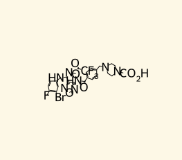 O=C(Nc1nonc1/C(=N\OC(=O)C(F)(F)F)Nc1ccc(F)c(Br)c1)c1ccc(CN2CCN(C(=O)O)CC2)cc1